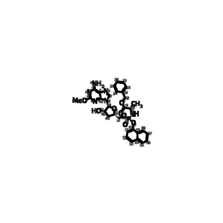 COc1nc(N)c2ncn([C@@H]3O[C@H](COP(=O)(N[C@@H](C)C(=O)OCc4ccccc4)Oc4cccc5ccccc45)C[C@H]3O)c2n1